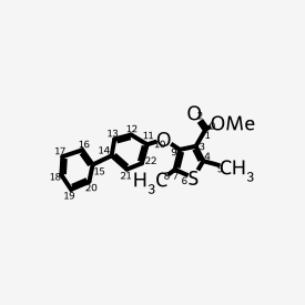 COC(=O)c1c(C)sc(C)c1Oc1ccc(-c2ccccc2)cc1